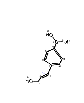 OC/C=C/c1ccc(B(O)O)cc1